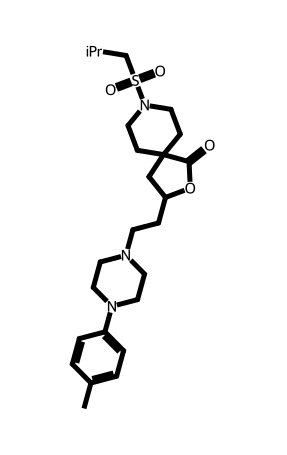 Cc1ccc(N2CCN(CCC3CC4(CCN(S(=O)(=O)CC(C)C)CC4)C(=O)O3)CC2)cc1